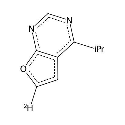 [2H]c1cc2c(C(C)C)ncnc2o1